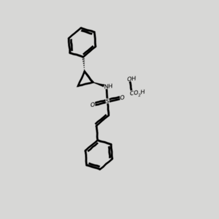 O=C(O)O.O=S(=O)(/C=C/c1ccccc1)N[C@H]1C[C@@H]1c1ccccc1